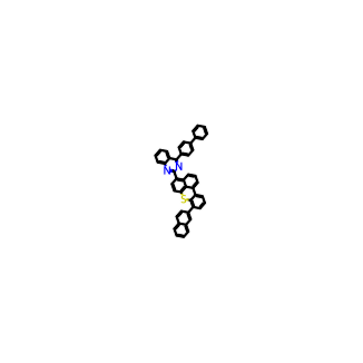 c1ccc(-c2ccc(-c3nc(-c4ccc5c6c(cccc46)-c4cccc(-c6ccc7ccccc7c6)c4S5)nc4ccccc34)cc2)cc1